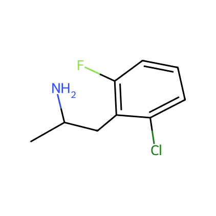 CC(N)Cc1c(F)cccc1Cl